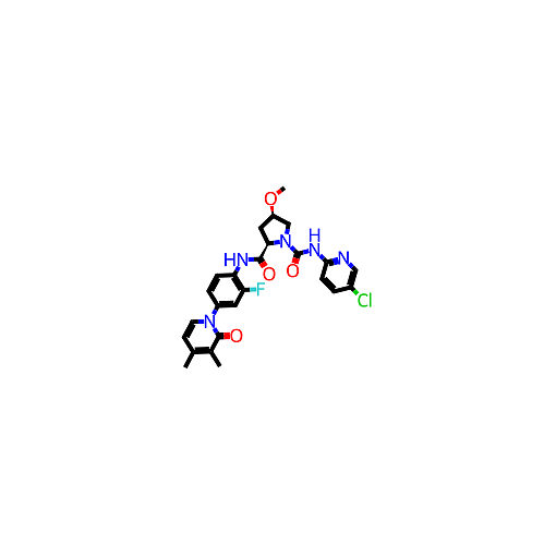 CO[C@@H]1C[C@H](C(=O)Nc2ccc(-n3ccc(C)c(C)c3=O)cc2F)N(C(=O)Nc2ccc(Cl)cn2)C1